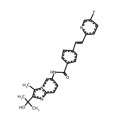 Cc1c(C(C)(C)O)nc2ccc(NC(=O)c3ccc(C=Cc4ccc(F)cn4)cc3)cn12